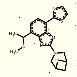 COC(C)c1ccc(-c2nccs2)c2oc(N3CC4CC(C3)N4)nc12